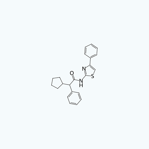 O=C(Nc1nc(-c2ccccc2)cs1)C(c1ccccc1)C1CCCC1